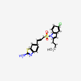 Nc1nc2ccc(C=CCS(=O)(=O)n3c(CCC(=O)O)cc4cc(Cl)ccc43)cc2s1